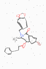 Cc1c(OCCc2ccccc2)c2cc(Br)ccc2c(=O)n1Cc1ccc2c(c1)OCO2